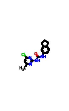 Cc1cc(Cl)nc(NC(=O)Nc2ccc3c(c2)CCC3)n1